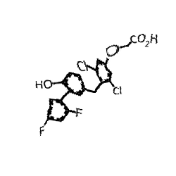 O=C(O)COc1cc(Cl)c(Cc2ccc(O)c(-c3ccc(F)cc3F)c2)c(Cl)c1